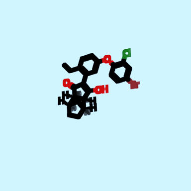 CCc1ccc(Oc2ccc(Br)cc2Cl)cc1C1=C(O)[C@H]2[C@H]3CC[C@H](C3)[C@H]2C1=O